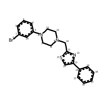 Brc1cccc(N2CCN(Cc3nc(-c4ccccc4)cs3)CC2)c1